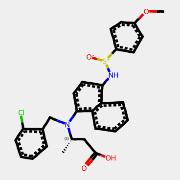 COc1ccc([S+]([O-])Nc2ccc(N(Cc3ccccc3Cl)[C@@H](C)CC(=O)O)c3ccccc23)cc1